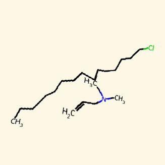 C=CCN(C)C.CCCCCCCCCCCCCCCl